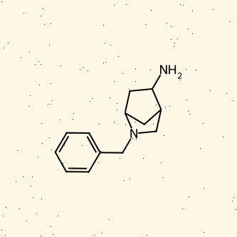 NC1CC2CC1CN2Cc1ccccc1